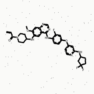 C=CC(=O)N1CCC(Nc2cc3c(Nc4ccc(Oc5ccnc(NC6CCC(F)(F)C6)c5)cc4F)ncnc3cc2OC)CC1